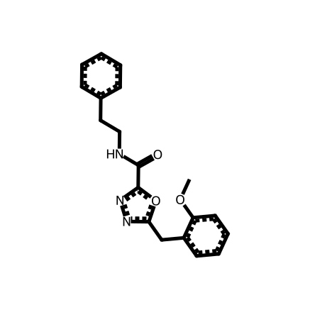 COc1ccccc1Cc1nnc(C(=O)NCCc2ccccc2)o1